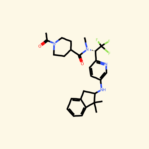 CC(=O)N1CCC(C(=O)N(C)[C@@H](c2ccc(NC3Cc4ccccc4C3(C)C)cn2)C(F)(F)F)CC1